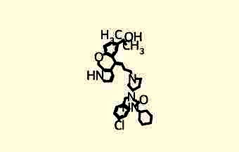 CC(C)(O)c1ccc2c(c1)/C(=C/CCN1CC[C@H](N(Cc3ccc(Cl)cc3)C(=O)NC3CCCCC3)C1)C1=C(CO2)NCC=C1